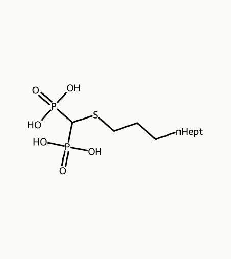 CCCCCCCCCCSC(P(=O)(O)O)P(=O)(O)O